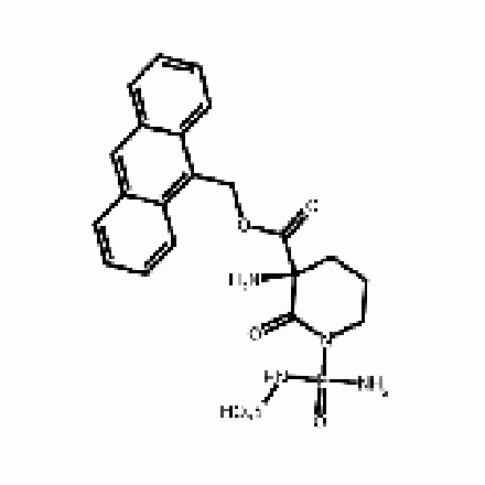 N[C@@]1(C(=O)OCc2c3ccccc3cc3ccccc23)CCCN(P(N)(=O)NS(=O)(=O)O)C1=O